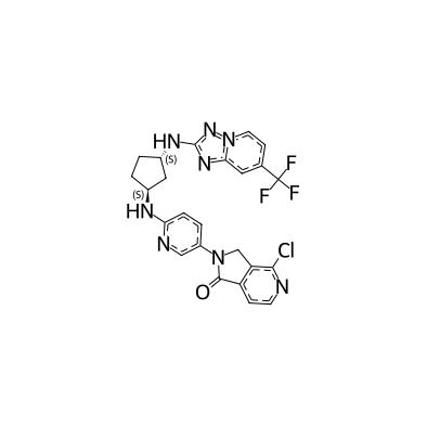 O=C1c2ccnc(Cl)c2CN1c1ccc(N[C@H]2CC[C@H](Nc3nc4cc(C(F)(F)F)ccn4n3)C2)nc1